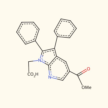 COC(=O)c1cnc2c(c1)c(-c1ccccc1)c(-c1ccccc1)n2CC(=O)O